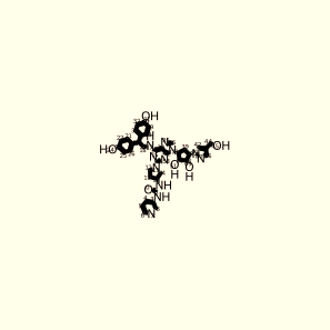 O=C(Nc1cccnc1)N[C@@H]1CCN(c2nc(NCC(c3ccc(O)cc3)c3ccc(O)cc3)c3ncn([C@@H]4C[C@H](n5cc(CO)cn5)[C@@H](O)[C@H]4O)c3n2)C1